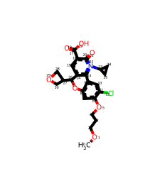 COCCCOc1cc2c(cc1Cl)-c1c(cc(C(=O)O)c(=O)n1C1CC1)C(C1COC1)O2